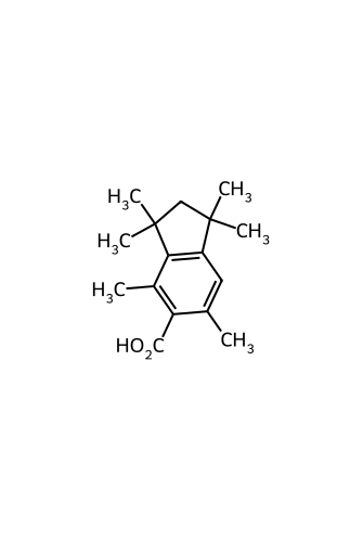 Cc1cc2c(c(C)c1C(=O)O)C(C)(C)CC2(C)C